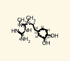 C/N=C(/NC(=N)N)N(C)CCc1ccc(O)c(O)c1